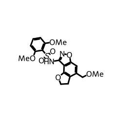 COCc1cc2onc(NS(=O)(=O)c3c(OC)cccc3OC)c2c2c1CCO2